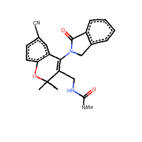 CNC(=O)NCC1=C(N2Cc3ccccc3C2=O)c2cc(C#N)ccc2OC1(C)C